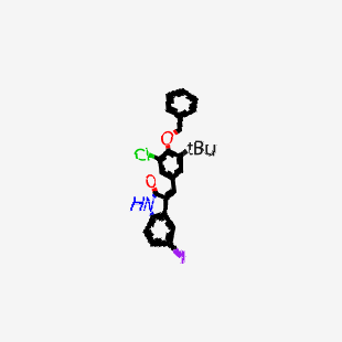 CC(C)(C)c1cc(C=C2C(=O)Nc3ccc(I)cc32)cc(Cl)c1OCc1ccccc1